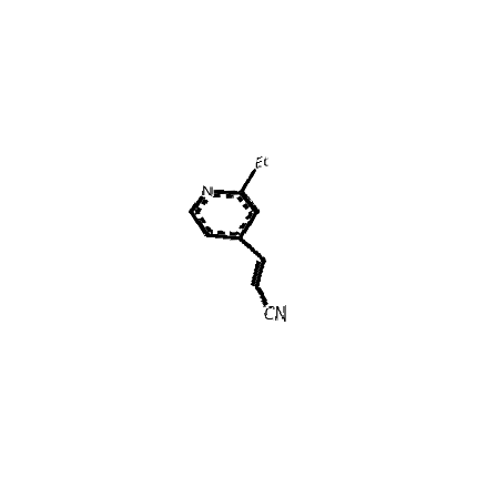 CCc1cc(C=CC#N)ccn1